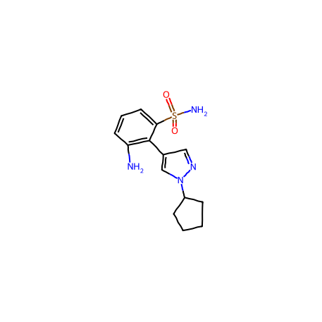 Nc1cccc(S(N)(=O)=O)c1-c1cnn(C2CCCC2)c1